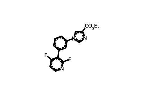 CCOC(=O)c1cn(-c2cccc(-c3c(F)ccnc3F)c2)cn1